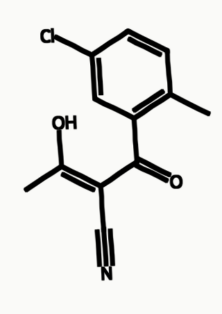 CC(O)=C(C#N)C(=O)c1cc(Cl)ccc1C